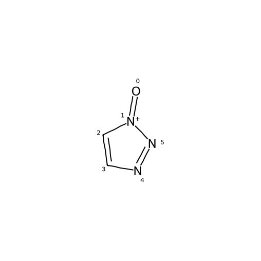 O=[N+]1C=CN=N1